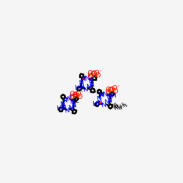 O=S(=O)([O-])c1ccc2c3nc4nc(nc5[nH]c(nc6nc(nc([nH]3)c2c1S(=O)(=O)[O-])-c1ccccc1-6)c1ccccc51)-c1ccccc1-4.O=S(=O)([O-])c1ccc2c3nc4nc(nc5[nH]c(nc6nc(nc([nH]3)c2c1S(=O)(=O)[O-])-c1ccccc1-6)c1ccccc51)-c1ccccc1-4.O=S(=O)([O-])c1ccc2c3nc4nc(nc5[nH]c(nc6nc(nc([nH]3)c2c1S(=O)(=O)[O-])-c1ccccc1-6)c1ccccc51)-c1ccccc1-4.[Ru+3].[Ru+3]